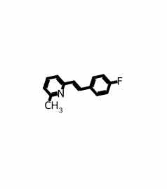 Cc1cccc(C=Cc2ccc(F)cc2)n1